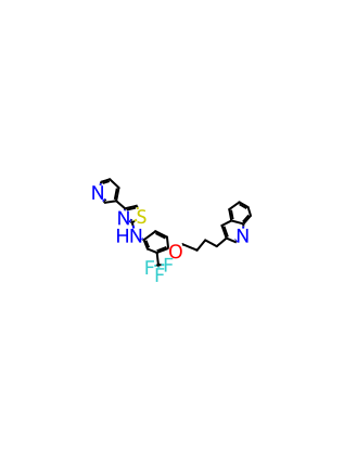 FC(F)(F)c1cc(Nc2nc(-c3cccnc3)cs2)ccc1OCCCCc1cnc2ccccc2c1